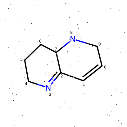 C1=CC2=NCCCC2[N]C1